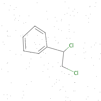 Cl[CH]C(Cl)c1ccccc1